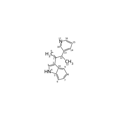 C=C(c1c[nH]c2ccccc12)C(C)c1cccnc1